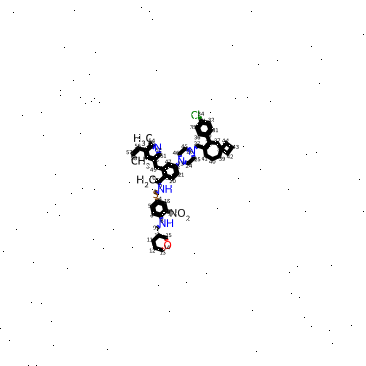 C=C(NSc1ccc(NC[C@H]2CCCOC2)c([N+](=O)[O-])c1)c1ccc(N2CCN(CC3=C(c4ccc(Cl)cc4)CC4(CCC3)CCC4)CC2)cc1Cc1cnc(C)c(/C=C\C)c1